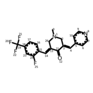 CN1C/C(=C\c2ccncc2)C(=O)/C(=C/c2ccc(C(F)(F)F)cc2F)C1